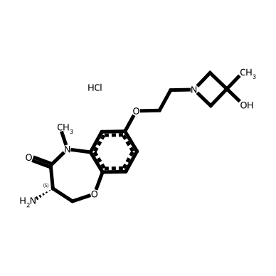 CN1C(=O)[C@@H](N)COc2ccc(OCCN3CC(C)(O)C3)cc21.Cl